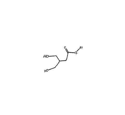 CCOC(=O)CC(CO)CO